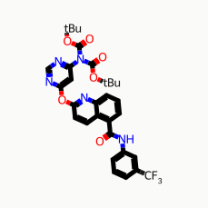 CC(C)(C)OC(=O)N(C(=O)OC(C)(C)C)c1cc(Oc2ccc3c(C(=O)Nc4cccc(C(F)(F)F)c4)cccc3n2)ncn1